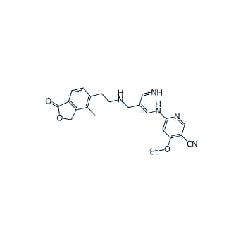 CCOc1cc(N/C=C(\C=N)CNCCc2ccc3c(c2C)COC3=O)ncc1C#N